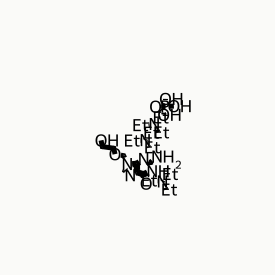 CCN(CC)CC.CCN(CC)CC.CCN(CC)CC.Nc1nc2c(ncn2COCCO)c(=O)[nH]1.O=P(O)(O)O